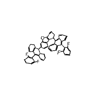 FC1=CCCC(F)=C1C1=C2C=CC=CC2C(c2ccc3c4c(oc3c2)C=CCC4c2c3ccccc3c(-c3c(F)cccc3F)c3ccccc23)C2=C1C=CCC2